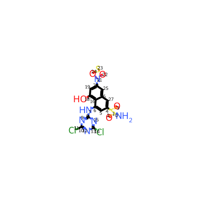 NS(=O)(=O)c1cc(Nc2nc(Cl)nc(Cl)n2)c2c(O)cc(N3OSO3)cc2c1